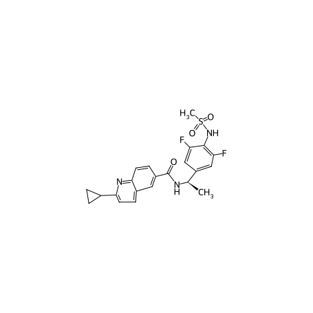 C[C@@H](NC(=O)c1ccc2nc(C3CC3)ccc2c1)c1cc(F)c(NS(C)(=O)=O)c(F)c1